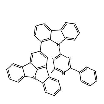 Cc1nc(-c2ccccc2)nc(-n2c3ccccc3c3cccc(-c4cc5c6ccccc6n6c7ccccc7c(c4)c56)c32)n1